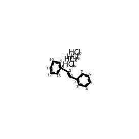 C(=Cc1ccccc1)c1ccccc1.Cl.Cl.Cl.Cl